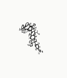 CCc1c2c(nc3ccc(OC(C(=O)OC)c4ccc(NC)cc4)cc13)-c1cc3c(c(=O)n1C2)COC(=O)[C@]3(O)CC